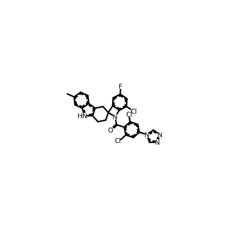 Cc1ccc2c3c([nH]c2c1)CCC1(C3)c2cc(F)cc(Cl)c2N1C(=O)c1c(Cl)cc(-n2cnnc2)cc1Cl